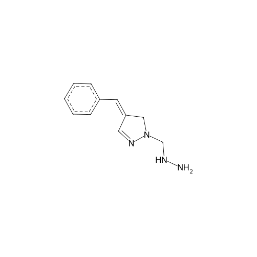 NNCN1CC(=Cc2ccccc2)C=N1